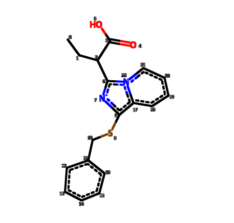 CCC(C(=O)O)c1nc(SCc2ccccc2)c2ccccn12